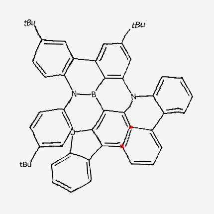 CC(C)(C)c1ccc(N2B3c4c(cc(C(C)(C)C)cc4N(c4ccccc4-c4ccccc4)c4ccc5c(oc6ccccc65)c43)-c3cc(C(C)(C)C)ccc32)cc1